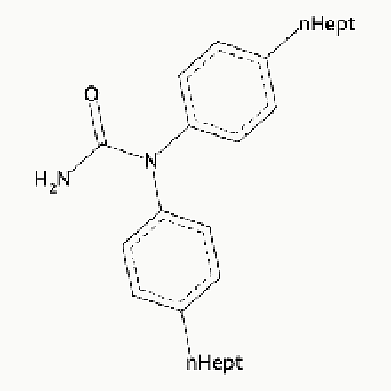 CCCCCCCc1ccc(N(C(N)=O)c2ccc(CCCCCCC)cc2)cc1